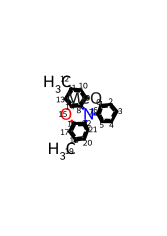 COc1ccccc1N1c2ccc(C)cc2Oc2cc(C)ccc21